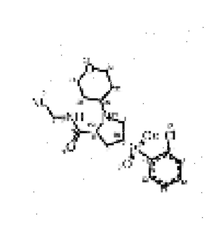 N#CCNC(=O)[C@@H]1C[C@@H](S(=O)(=O)c2ccccc2Cl)CN1C1CCOCC1